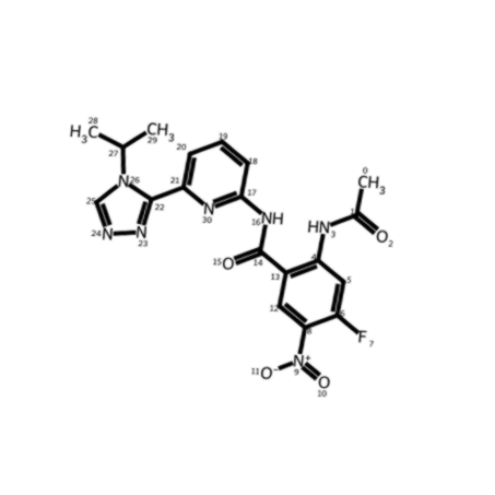 CC(=O)Nc1cc(F)c([N+](=O)[O-])cc1C(=O)Nc1cccc(-c2nncn2C(C)C)n1